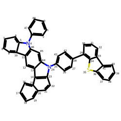 c1ccc(-n2c3ccccc3c3cc4c5c6ccccc6ccc5n(-c5ccc(-c6cccc7c6sc6ccccc67)cc5)c4cc32)cc1